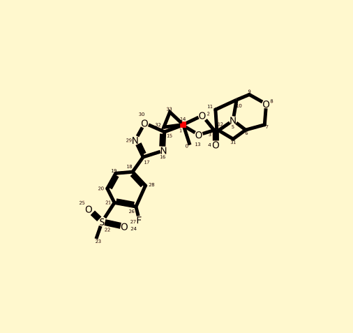 CC1(OC(=O)N2C3COCC2CC(OCc2nc(-c4ccc(S(C)(=O)=O)c(F)c4)no2)C3)CC1